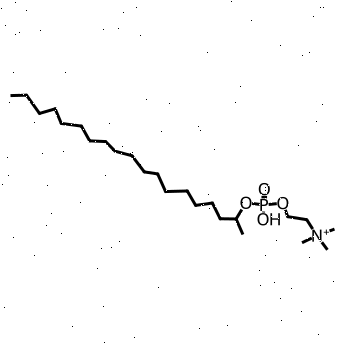 CCCCCCCCCCCCCCCCCC(C)OP(=O)(O)OCC[N+](C)(C)C